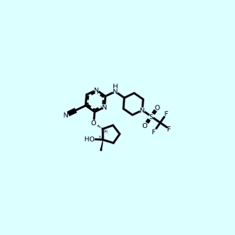 C[C@]1(O)CCC[C@H]1Oc1nc(NC2CCN(S(=O)(=O)C(F)(F)F)CC2)ncc1C#N